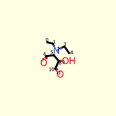 CCN(CC)C(C=O)C(O)C=O